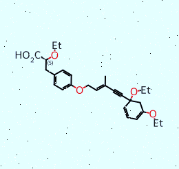 CCOC1=CC=CC(C#CC(C)=CCOc2ccc(C[C@H](OCC)C(=O)O)cc2)(OCC)C1